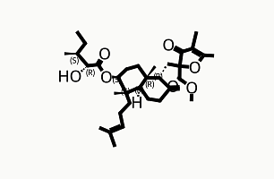 C=C1CC[C@H]2[C@](C)(CCC=C(C)C)[C@@H](OC(=O)[C@H](O)[C@@H](C)CC)CC[C@]2(C)[C@@H]1CC1(C(=O)OC)OC(C)=C(C)C1=O